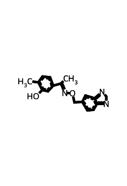 C/C(=N\OCc1ccc2c(c1)=NCN=2)c1ccc(C)c(O)c1